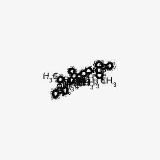 Cc1ccc(N(c2ccc3cc4c(cc3c2)C([Si](C)(C)C)([Si](C)(C)C)c2c-4c3ccccc3c3cc(N(c4ccc(C)cc4)c4cccc5c4oc4ccccc45)ccc23)c2cccc3c2oc2ccccc23)cc1